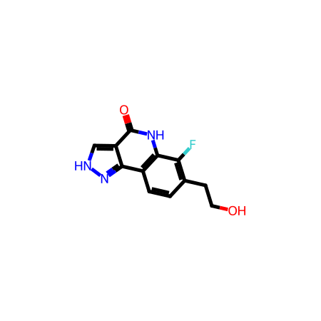 O=c1[nH]c2c(F)c(CCO)ccc2c2n[nH]cc12